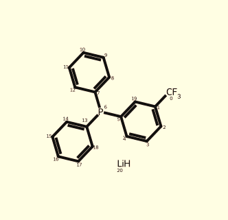 FC(F)(F)c1cc[c]c(P(c2ccccc2)c2ccccc2)c1.[LiH]